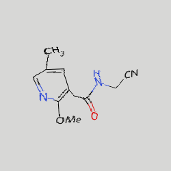 COc1ncc(C)cc1C(=O)NCC#N